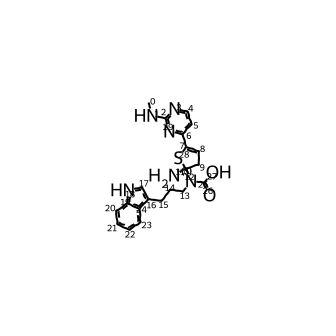 CNc1nccc(C2=CC[C@](N)(N(CCCc3c[nH]c4ccccc34)C(=O)O)S2)n1